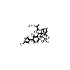 CC(=O)O[C@H](C)C(=O)N1C2CC(C2)[C@H](NS(C)(=O)=O)[C@@H]1Cc1cccc(-c2csc(Cl)c2)c1F